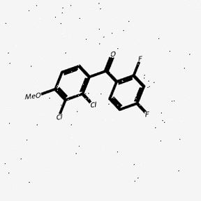 COc1ccc(C(=O)c2ccc(F)cc2F)c(Cl)c1Cl